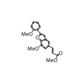 COC(=O)/C=C/c1cc(OC)c2oc(-c3ccccc3OC)cc2c1